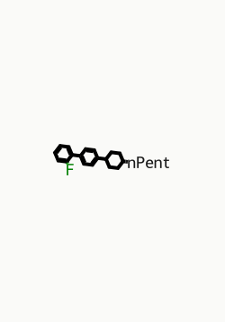 CCCCCC1CCC(c2ccc(-c3ccccc3F)cc2)CC1